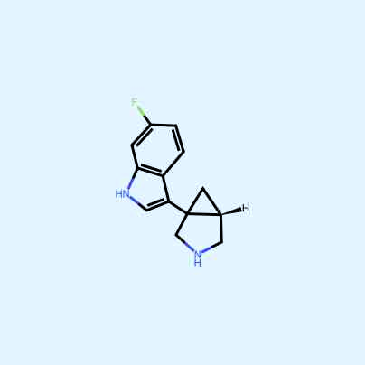 Fc1ccc2c(C34CNC[C@H]3C4)c[nH]c2c1